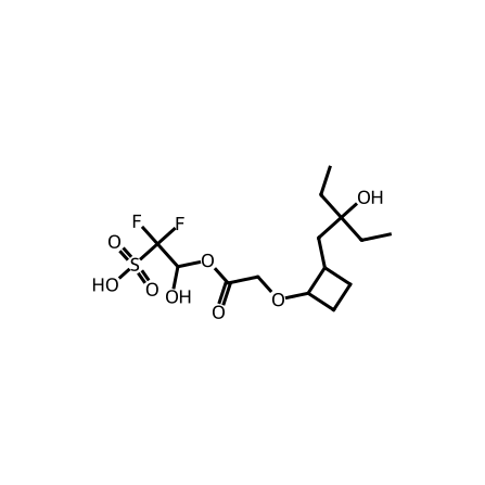 CCC(O)(CC)CC1CCC1OCC(=O)OC(O)C(F)(F)S(=O)(=O)O